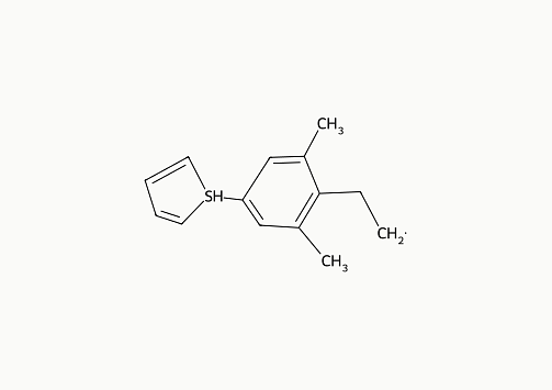 [CH2]Cc1c(C)cc([SH]2C=CC=C2)cc1C